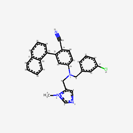 Cn1cncc1CN(Cc1cccc(Cl)c1)c1ccc(C#N)c(-c2cccc3ccccc23)c1